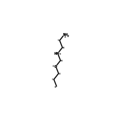 CCCOCNCCN